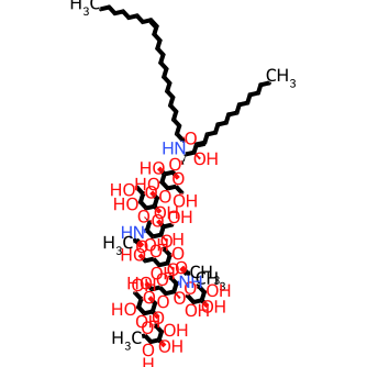 CCCCCCCC/C=C\CCCCCCCCCCCCCCCC(=O)N[C@@H](CO[C@@H]1OC(CO)[C@@H](O[C@@H]2OC(CO)[C@H](O)[C@H](O[C@@H]3OC(CO)[C@@H](O[C@@H]4OC(CO)[C@H](O)[C@H](O[C@@H]5OC(CO)[C@@H](O[C@@H]6OC(CO)[C@H](O)[C@H](O)C6O[C@H]6OC(C)[C@@H](O)C(O)[C@@H]6O)[C@H](O[C@H]6OC(C)[C@@H](O)C(O)[C@@H]6O)C5NC(C)=O)C4O)[C@H](O)C3NC(C)=O)C2O)[C@H](O)C1O)[C@H](O)/C=C/CCCCCCCCCCCCC